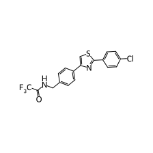 O=C(NCc1ccc(-c2csc(-c3ccc(Cl)cc3)n2)cc1)C(F)(F)F